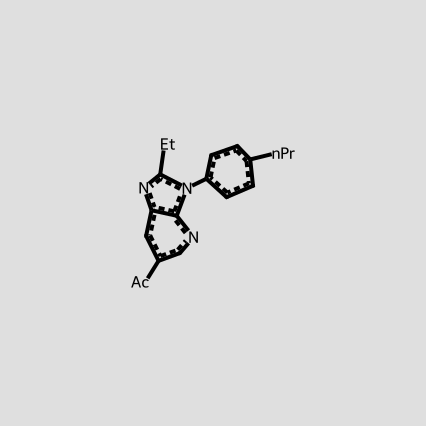 CCCc1ccc(-n2c(CC)nc3cc(C(C)=O)cnc32)cc1